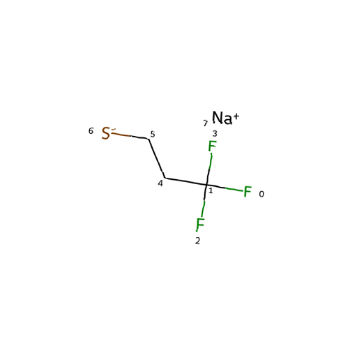 FC(F)(F)CC[S-].[Na+]